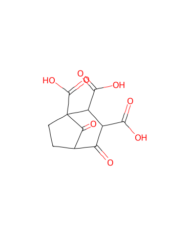 O=C(O)C1C(=O)C2CCC(C(=O)O)(C2=O)C1C(=O)O